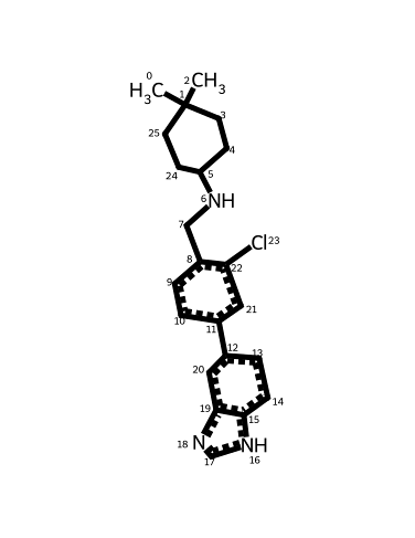 CC1(C)CCC(NCc2ccc(-c3ccc4[nH]cnc4c3)cc2Cl)CC1